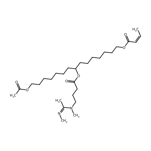 C/C=C\C(=O)OCCCCCCCC(CCCCCCCOC(C)=O)OC(=O)CCCN(C)/C(C)=N\C